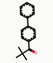 [CH2]C(C)(C)C(=O)c1ccc(-c2ccccc2)cc1